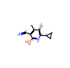 Cc1c(Br)c(C2CC2)nc(O)c1C#N